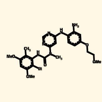 CCc1c(OC)cc(OC)c(C)c1NC(=O)N(C)c1cc(Nc2ccc(OCCOC)cc2N)ncn1